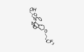 O=C1O[C@H](CO)CN1c1noc2cc(OCCCC(F)(F)F)ccc12